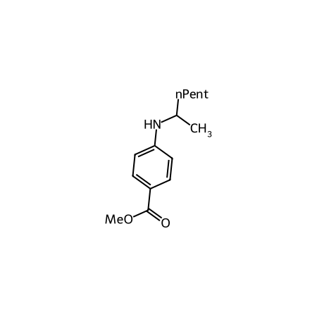 CCCCCC(C)Nc1ccc(C(=O)OC)cc1